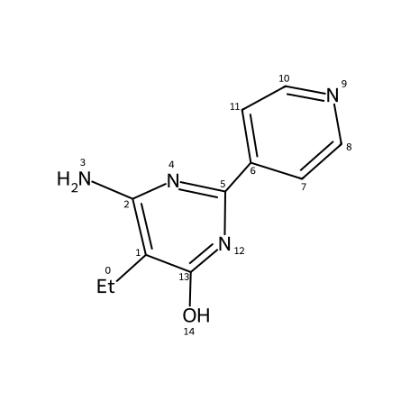 CCc1c(N)nc(-c2ccncc2)nc1O